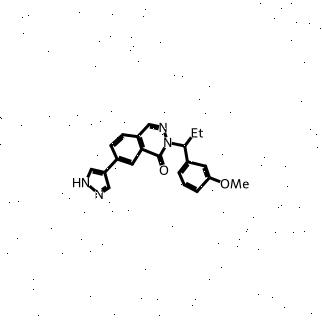 CCC(c1cccc(OC)c1)n1ncc2ccc(-c3cn[nH]c3)cc2c1=O